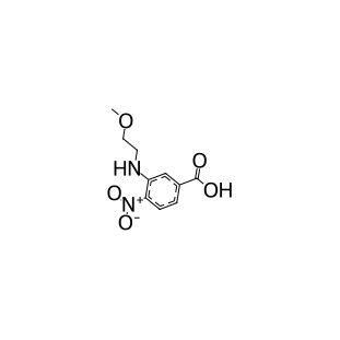 COCCNc1cc(C(=O)O)ccc1[N+](=O)[O-]